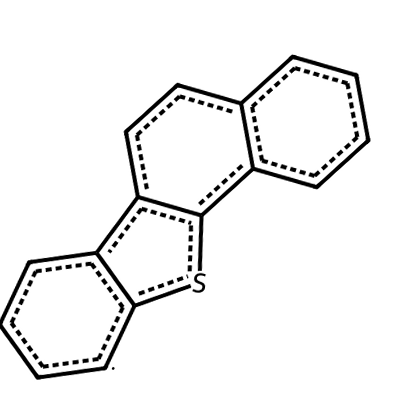 [c]1cccc2c1sc1c3ccccc3ccc21